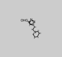 O=Cc1cn(CCN2CCCCC2)nn1